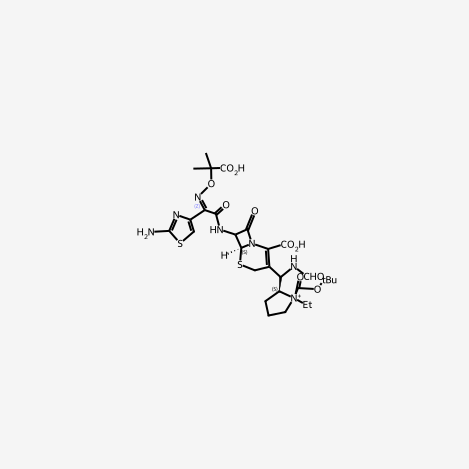 CC[N+]1(C(=O)OC(C)(C)C)CCC[C@H]1C(NC=O)C1=C(C(=O)O)N2C(=O)C(NC(=O)/C(=N\OC(C)(C)C(=O)O)c3csc(N)n3)[C@@H]2SC1